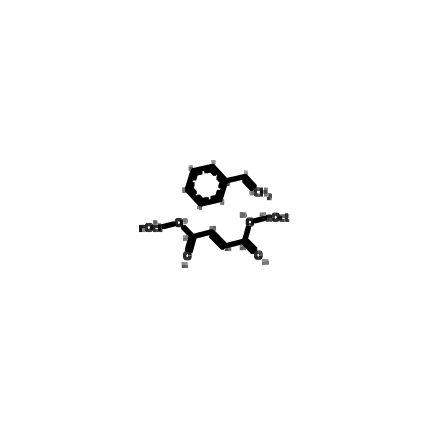 C=Cc1ccccc1.CCCCCCCCOC(=O)C=CC(=O)OCCCCCCCC